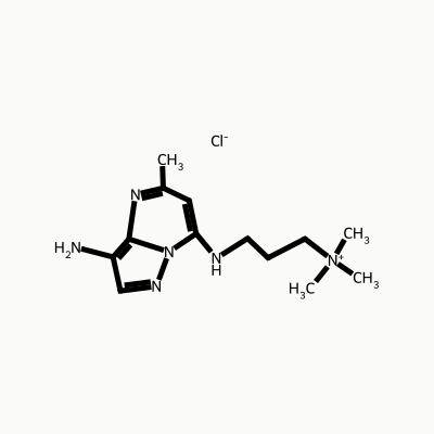 Cc1cc(NCCC[N+](C)(C)C)n2ncc(N)c2n1.[Cl-]